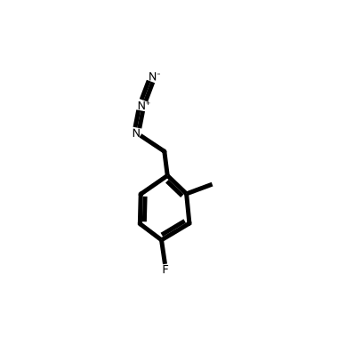 Cc1cc(F)ccc1CN=[N+]=[N-]